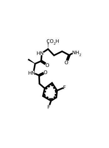 C[C@H](NC(=O)Cc1cc(F)cc(F)c1)C(=O)N[C@@H](CCC(N)=O)C(=O)O